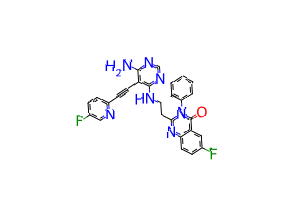 Nc1ncnc(NCCc2nc3ccc(F)cc3c(=O)n2-c2ccccc2)c1C#Cc1ccc(F)cn1